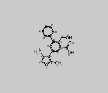 Cc1noc(C)c1-c1cc(C(=O)O)c(CO)c(-c2ccccc2)c1